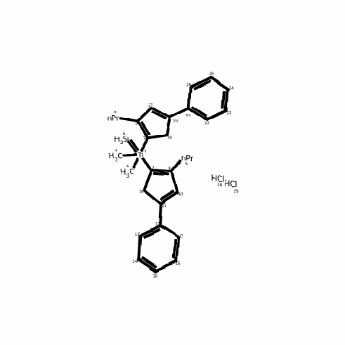 CCCC1=[C]([Ti]([CH3])([CH3])(=[SiH2])[C]2=C(CCC)C=C(c3ccccc3)C2)CC(c2ccccc2)=C1.Cl.Cl